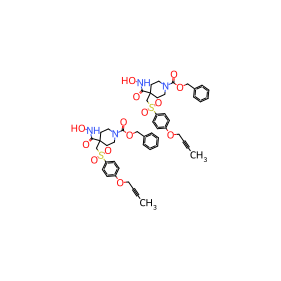 CC#CCOc1ccc(S(=O)(=O)CC2(C(=O)NO)CCN(C(=O)OCc3ccccc3)CC2)cc1.CC#CCOc1ccc(S(=O)(=O)CC2(C(=O)NO)CCN(C(=O)OCc3ccccc3)CC2)cc1